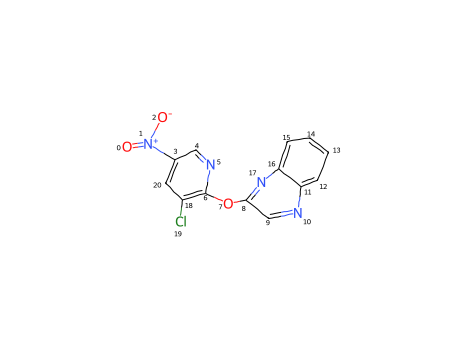 O=[N+]([O-])c1cnc(Oc2cnc3ccccc3n2)c(Cl)c1